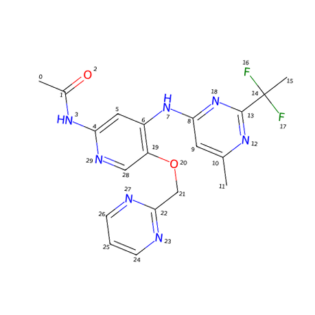 CC(=O)Nc1cc(Nc2cc(C)nc(C(C)(F)F)n2)c(OCc2ncccn2)cn1